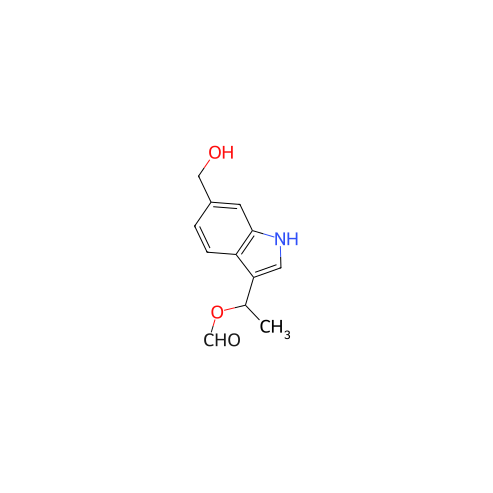 CC(OC=O)c1c[nH]c2cc(CO)ccc12